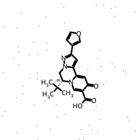 CC(C)(C)[C@@H]1Cn2nc(-c3ccoc3)cc2-c2cc(=O)c(C(=O)O)cn21